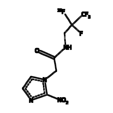 O=C(Cn1ccnc1[N+](=O)[O-])NCC(F)([18F])C(F)(F)F